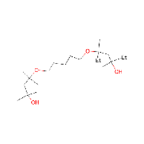 CCC(C)(O)CC(C)(CC)OCCCCCOC(C)(C)CC(C)(C)O